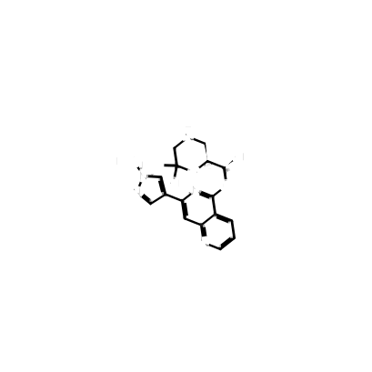 C[C@@H](Oc1nc(-c2cnn(C)c2)cc2ncccc12)[C@@H]1CNCC(C)(C)O1